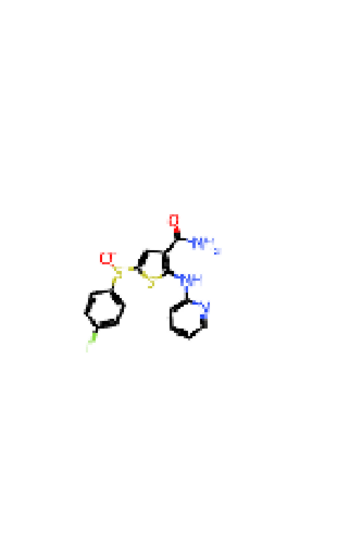 NC(=O)c1cc([S+]([O-])c2ccc(F)cc2)sc1Nc1ccccn1